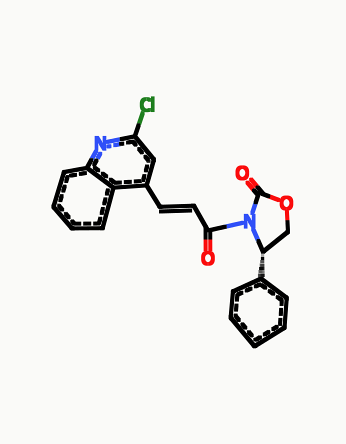 O=C(/C=C/c1cc(Cl)nc2ccccc12)N1C(=O)OC[C@@H]1c1ccccc1